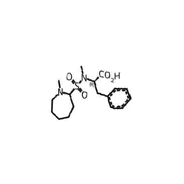 CN1CCCCCC1S(=O)(=O)N(C)[C@H](Cc1ccccc1)C(=O)O